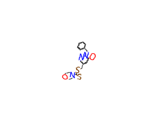 O=c1cc(CSC(=S)N2CCOCC2)cnn1Cc1ccccc1